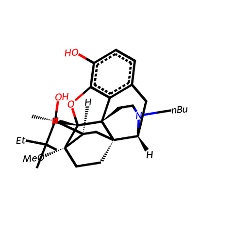 CCCCN1CC[C@]23c4c5ccc(O)c4O[C@H]2[C@]2(OC)CC[C@@]3(C[C@@H]2[C@](C)(O)C(C)(C)CC)[C@H]1C5